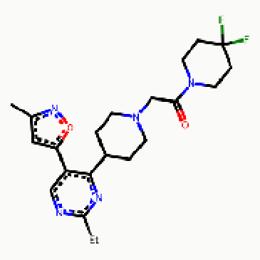 CCc1ncc(-c2cc(C)no2)c(C2CCN(CC(=O)N3CCC(F)(F)CC3)CC2)n1